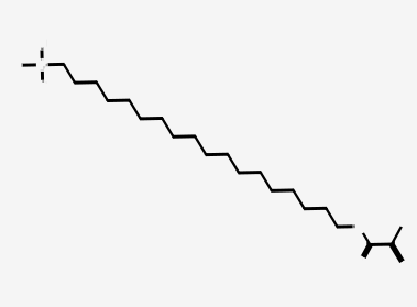 C=C(C)C(=O)OCCCCCCCCCCCCCCCCCC[Si](Cl)(Cl)Cl